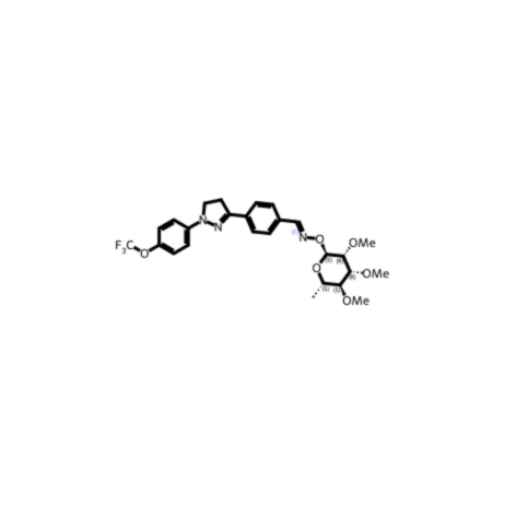 CO[C@@H]1[C@@H](OC)[C@H](C)O[C@@H](O/N=C/c2ccc(C3=NN(c4ccc(OC(F)(F)F)cc4)CC3)cc2)[C@@H]1OC